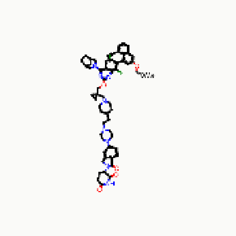 C#Cc1cccc2cc(OCOC)cc(-c3c(F)cc4c(N5CC6CCC(C6)C5)nc(OCC5(CN6CCC(CCN7CCN(c8ccc9c(c8)CN([C@H]8CCC(=O)NC8=O)C9=O)CC7)CC6)CC5)nc4c3F)c12